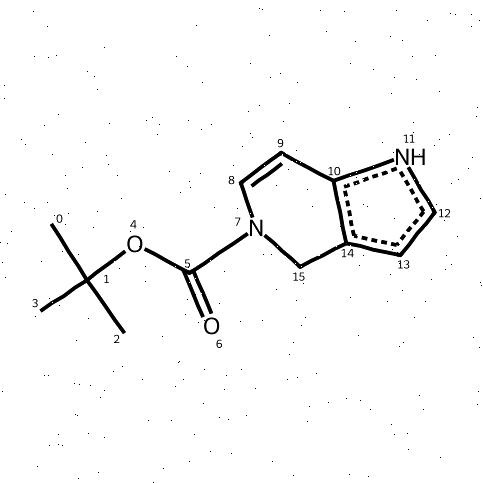 CC(C)(C)OC(=O)N1C=Cc2[nH]ccc2C1